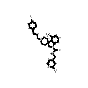 O=C(NCc1ccnc(Cl)c1)N1CC2(CCN(CC=Cc3ccc(F)cc3)CC2)c2c1cccc2C(F)(F)F